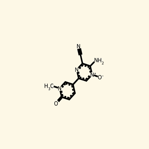 Cn1cc(-c2c[n+]([O-])c(N)c(C#N)n2)ccc1=O